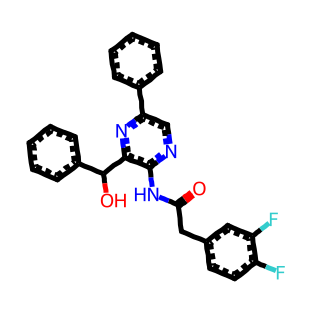 O=C(Cc1ccc(F)c(F)c1)Nc1ncc(-c2ccccc2)nc1C(O)c1ccccc1